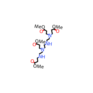 COC(=O)CCNCCN(CCNCCN(CCC(=O)OC)CCC(=O)OC)CCC(=O)OC